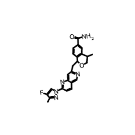 Cc1nn(-c2ccc3cnc(CC4OCC(C)c5cc(C(N)=O)ccc54)cc3n2)cc1F